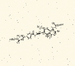 CCCCOC(=O)N=C(N)c1ccc(NCC#Cc2cc(C)c(N(CCC(=O)OC)C(=O)CC)cc2C)cc1